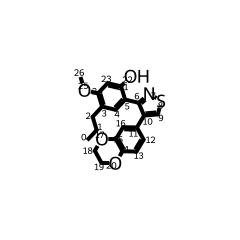 CCCc1cc(-c2nscc2-c2ccc3c(c2)OCCO3)c(O)cc1OC